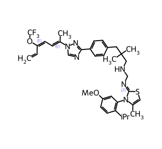 C=C/C(=C\C=C(/C)n1cnc(-c2ccc(CC(C)(C)CNC/N=c3\scc(C)n3-c3cc(OC)ccc3C(C)C)cc2)n1)OC(F)(F)F